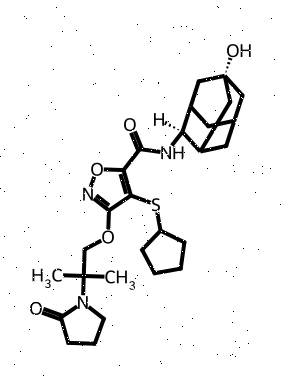 CC(C)(COc1noc(C(=O)N[C@H]2C3CC4CC2C[C@](O)(C4)C3)c1SC1CCCC1)N1CCCC1=O